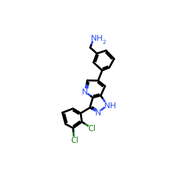 NCc1cccc(-c2cnc3c(-c4cccc(Cl)c4Cl)n[nH]c3c2)c1